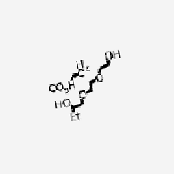 C=CC(=O)O.CCC(O)COCCOCCO